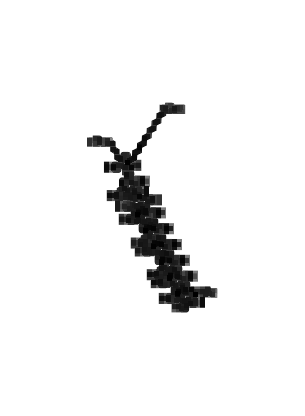 CCCCCCCCCCCCC/C=C/[C@@H](O)[C@H](CO[C@@H]1OC(CO)[C@@H](O[C@@H]2OC(CO)[C@H](O[C@@H]3OC(CO)[C@H](O)[C@H](O[C@H]4OC(CO)[C@H](O)[C@H](O[C@H]5OC(CO)[C@H](O)[C@H](O[C@H]6OC(CO)[C@H](O)[C@H](O[C@H]7OC(CO)[C@H](O)[C@H](O[C@@H]8OC(CO)[C@H](O)[C@H](O)C8NC(C)=O)C7O)C6O)C5O)C4O)C3O)[C@H](O)C2O)[C@H](O)C1O)NC(=O)CCCCCCCCCCCCCCCCCCCCCCC